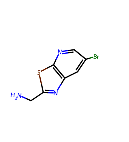 NCc1nc2cc(Br)cnc2s1